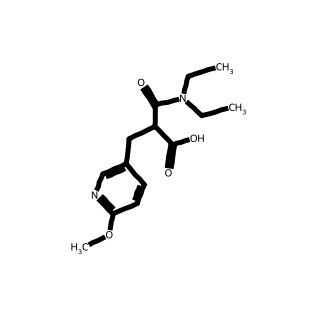 CCN(CC)C(=O)C(Cc1ccc(OC)nc1)C(=O)O